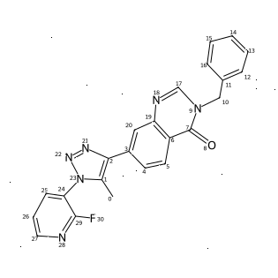 Cc1c(-c2ccc3c(=O)n(Cc4ccccc4)cnc3c2)nnn1-c1cccnc1F